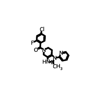 CN1NC2=C(CCN(C(=O)c3ccc(Cl)cc3F)C2)N1c1ccccn1